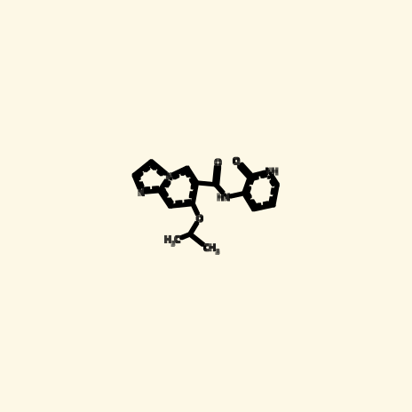 CC(C)Oc1cc2nccn2cc1C(=O)Nc1ccc[nH]c1=O